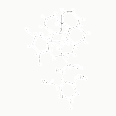 CSc1cc(C)nc(SC)c1NC(=O)[N+](Cc1ccc2ccccc2c1)(Cc1c(C)cc(C)cc1C)C1Cc2ccccc2C1